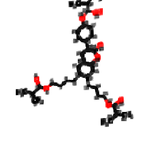 C=C(C)C(=O)OCCCCc1cc2cc(-c3ccc(OC(O)C(=C)C)cc3)c(=O)oc2cc1CCCCOC(=O)C(=C)C